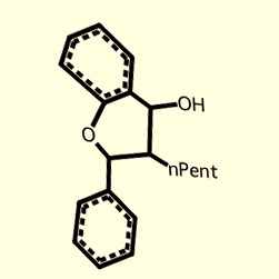 CCCCCC1C(O)c2ccccc2OC1c1ccccc1